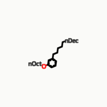 CCCCCCCCCCCCCCCc1cccc(OCCCCCCCC)c1